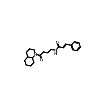 O=C(/C=C/c1ccccc1)NCCCC(=O)N1CCCC2CCCCC21